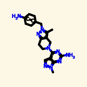 Cc1c2c(nn1CC13CCC(N)(CC1)CC3)CCN(c1nc(N)nc3c1cnn3C)C2